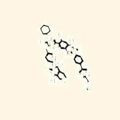 COCc1ncc(-c2ccc(S(=O)(=O)Nc3cc(F)c(C(=O)N[C@@H](Cc4ccc(-n5c(=O)[nH]c6cnccc6c5=O)nc4)C(=O)OC4CCCCC4)cc3F)cc2)cn1